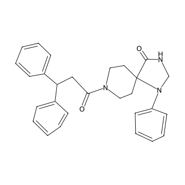 O=C(CC(c1ccccc1)c1ccccc1)N1CCC2(CC1)C(=O)NCN2c1ccccc1